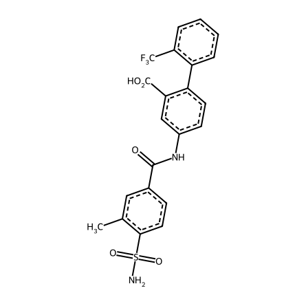 Cc1cc(C(=O)Nc2ccc(-c3ccccc3C(F)(F)F)c(C(=O)O)c2)ccc1S(N)(=O)=O